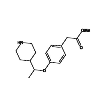 COC(=O)Cc1ccc(OC(C)C2CCNCC2)cc1